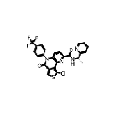 C[C@H](NC(=O)c1ccc2c(n1)c1c(Cl)scc1c(=O)n2-c1ccc(C(F)(F)F)cc1)c1ccccn1